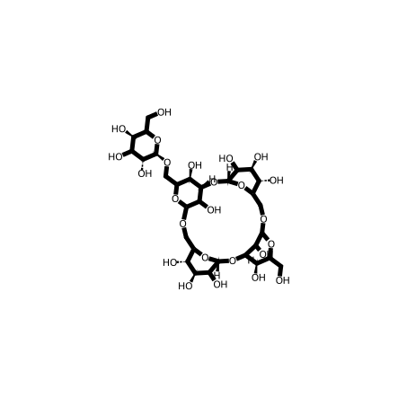 OCC1O[C@@H](OCC2OC3OCC4O[C@H](O[C@@H]5C(O)C(OCC6O[C@H](O[C@H](C3O)[C@@H]2O)C(O)[C@@H](O)[C@@H]6O)OC(CO)[C@H]5O)C(O)[C@@H](O)[C@@H]4O)[C@H](O)C(O)[C@H]1O